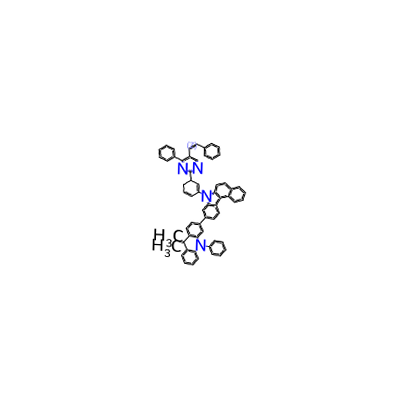 CC1(C)c2ccccc2N(c2ccccc2)c2cc(-c3ccc4c5c6ccccc6ccc5n(C5=CC(c6ncc(/C=C\c7ccccc7)c(-c7ccccc7)n6)CC=C5)c4c3)ccc21